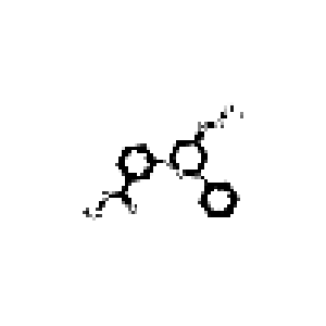 CON=C1C[C@@H](c2ccccc2)O[C@@H](c2cccc(C(=O)OC)c2)C1